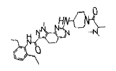 CCc1cccc(CC)c1NC(=O)c1nn(C)c2c1CCc1cnc(NC3CCN(C(=O)C(C)N(C)C)CC3)nc1-2